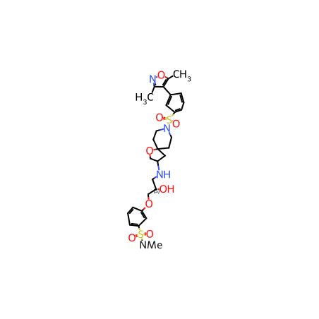 CNS(=O)(=O)c1cccc(OC[C@@H](O)CNC2COC3(CCN(S(=O)(=O)c4cccc(-c5c(C)noc5C)c4)CC3)C2)c1